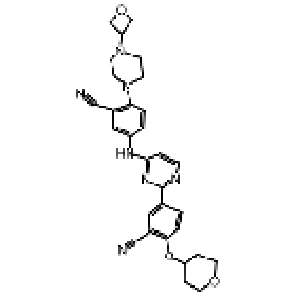 N#Cc1cc(-c2nccc(Nc3ccc(N4CCN(C5COC5)CC4)c(C#N)c3)n2)ccc1OC1CCOCC1